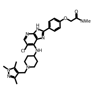 CNC(=O)COc1ccc(-c2nc3c(NC4CCN(Cc5c(C)nn(C)c5C)CC4)c(Cl)cnc3[nH]2)cc1